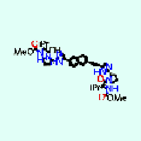 C=C([C@@H](NC(=O)OC)C(C)C)N1CCC[C@H]1c1ncc(-c2ccc3cc(C#Cc4cnc([C@@H]5CCCN5C(=O)[C@@H](NC(=O)OC)C(C)C)[nH]4)ccc3c2)[nH]1